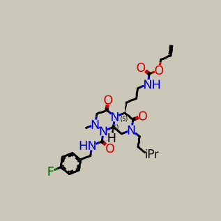 C=CCOC(=O)NCCC[C@H]1C(=O)N(CCC(C)C)C[C@H]2N1C(=O)CN(C)N2C(=O)NCc1ccc(F)cc1